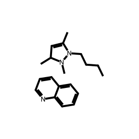 CCCCN1C(C)=CC(C)N1C.c1ccc2ncccc2c1